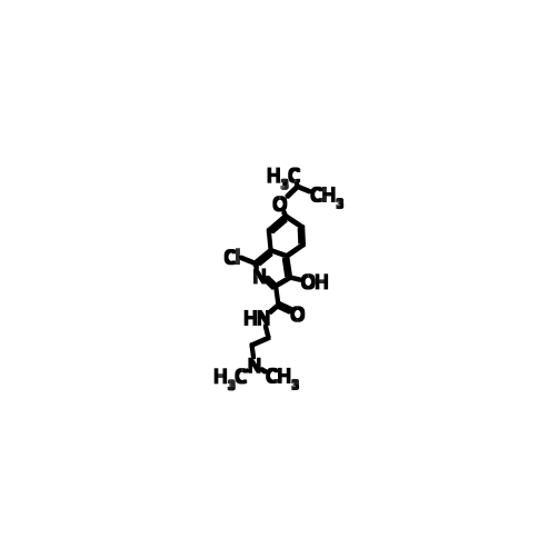 CC(C)Oc1ccc2c(O)c(C(=O)NCCN(C)C)nc(Cl)c2c1